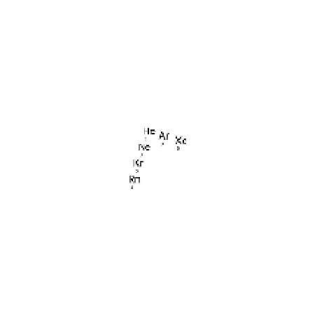 [Ar].[He].[Kr].[Ne].[Rn].[Xe]